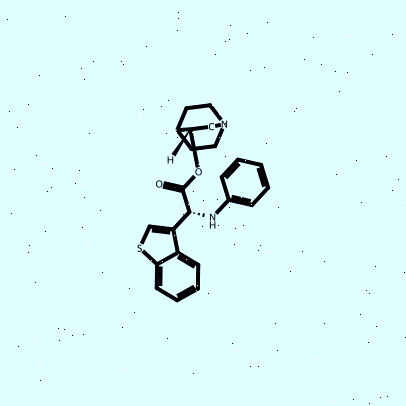 O=C(O[C@H]1CN2CCC1CC2)[C@H](Nc1ccccc1)c1csc2ccccc12